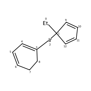 CC[C]1([Ir][C]2=CC=CCC2)C=CC=C1